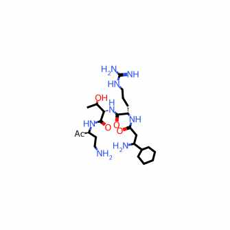 CC(=O)[C@H](CCN)NC(=O)[C@@H](NC(=O)[C@H](CCCNC(=N)N)NC(=O)CC(N)C1CCCCC1)C(C)O